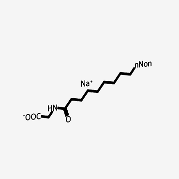 CCCCCCCCCCCCCCCCCC(=O)NCC(=O)[O-].[Na+]